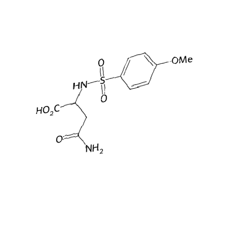 COc1ccc(S(=O)(=O)NC(CC(N)=O)C(=O)O)cc1